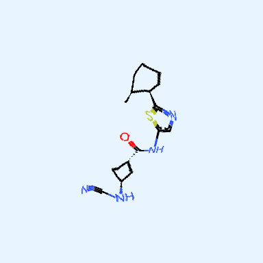 C[C@H]1CCCC[C@H]1c1ncc(NC(=O)[C@H]2C[C@H](NC#N)C2)s1